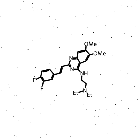 CCN(CC)CCNc1nc(/C=C/c2ccc(F)c(F)c2)nc2cc(OC)c(OC)cc12